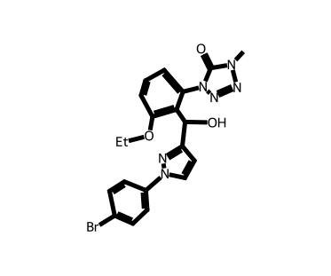 CCOc1cccc(-n2nnn(C)c2=O)c1C(O)c1ccn(-c2ccc(Br)cc2)n1